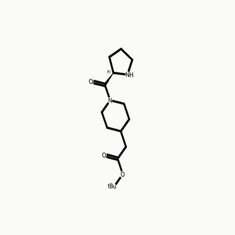 CC(C)(C)OC(=O)CC1CCN(C(=O)[C@H]2CCCN2)CC1